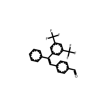 O=Cc1ccc(C=C(c2ccccc2)c2cc(C(F)(F)F)cc(C(F)(F)F)c2)cc1